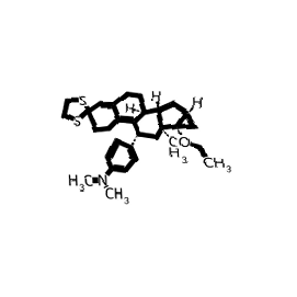 CCO[C@@]12C[C@@H]1C[C@H]1[C@@H]3CCC4=CC5(CCC4=C3[C@@H](c3ccc(N(C)C)cc3)C[C@@]12C)SCCS5